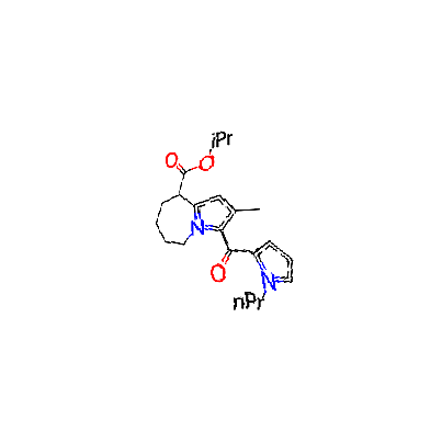 CCCn1cccc1C(=O)c1c(C)cc2n1CCCCC2C(=O)OC(C)C